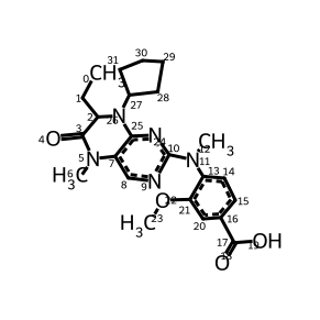 CCC1C(=O)N(C)c2cnc(N(C)c3ccc(C(=O)O)cc3OC)nc2N1C1CCCC1